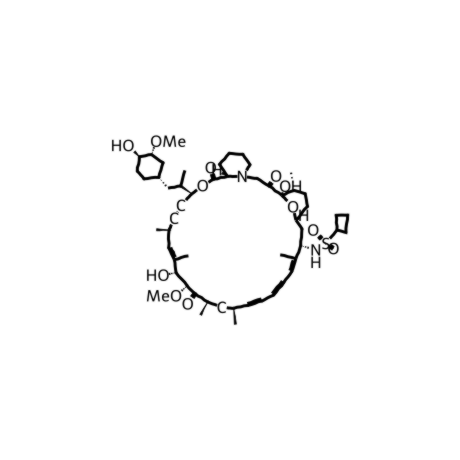 CO[C@@H]1C[C@H](CC(C)[C@@H]2CC[C@H](C)/C=C(\C)[C@@H](O)[C@@H](OC)C(=O)[C@H](C)C[C@H](C)/C=C/C=C/C=C(\C)[C@@H](NS(=O)(=O)C3CCC3)C[C@@H]3CC[C@@H](C)[C@@](O)(O3)C(=O)CN3CCCC[C@H]3C(=O)O2)CC[C@H]1O